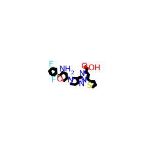 N[C@H]1C[C@@H](N2CCc3nn4c(-c5cccs5)cc(C(=O)O)nc4c3C2)CO[C@@H]1c1cc(F)ccc1F